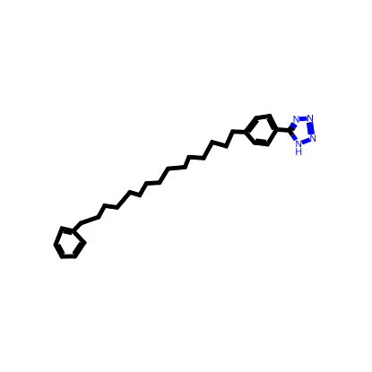 c1ccc(CCCCCCCCCCCCCCCc2ccc(-c3nnn[nH]3)cc2)cc1